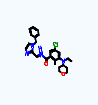 CCN(c1cc(Cl)cc(C(=O)NCc2nccn2Cc2ccccc2)c1C)C1CCOCC1